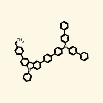 C=Cc1ccc(-c2ccc3c(c2)c2cc(-c4ccc(-c5ccc(N(c6ccc(C7=CC=CCC7)cc6)c6ccc(-c7ccccc7)cc6)cc5)cc4)ccc2n3-c2ccccc2)cc1